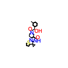 Cc1cccc(C(O)C(=O)N2CCc3nc(C4(c5cccs5)CC4)[nH]c(=O)c3C2)c1